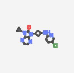 O=c1n(C2CC2)c2nccnc2n1C1CC(Nc2ccc(Cl)cn2)C1